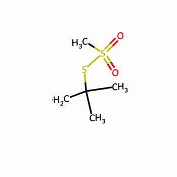 [CH2]C(C)(C)SS(C)(=O)=O